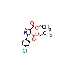 CCOC(=O)C1SN=C(c2ccc(Cl)cc2)C1C(=O)OCC